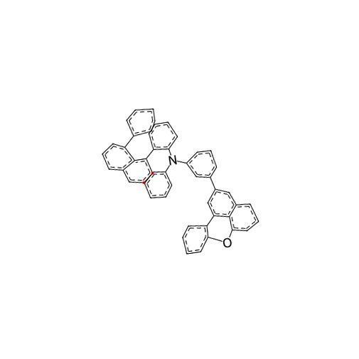 c1ccc(-c2cccc3cccc(-c4ccccc4N(c4ccccc4)c4cccc(-c5cc6c7c(cccc7c5)Oc5ccccc5-6)c4)c23)cc1